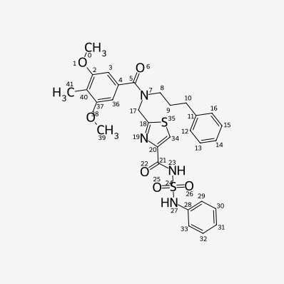 COc1cc(C(=O)N(CCCc2ccccc2)Cc2nc(C(=O)NS(=O)(=O)Nc3ccccc3)cs2)cc(OC)c1C